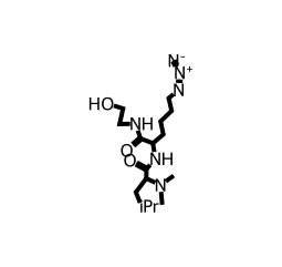 CC(C)CC(C(=O)NC(CCCCN=[N+]=[N-])C(=O)NCCO)N(C)C